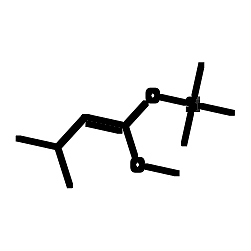 CO/C(=C\C(C)C)O[Si](C)(C)C